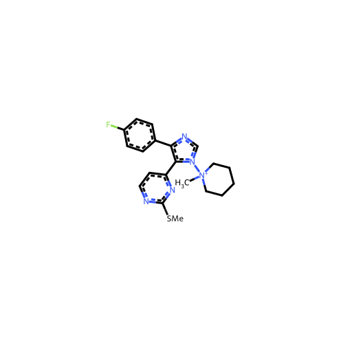 CSc1nccc(-c2c(-c3ccc(F)cc3)ncn2[N+]2(C)CCCCC2)n1